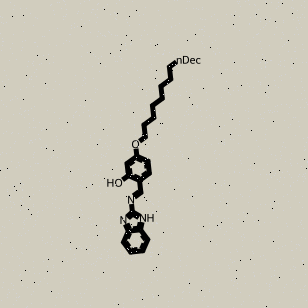 CCCCCCCCCCCCCCCCCCOc1ccc(C=Nc2nc3ccccc3[nH]2)c(O)c1